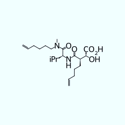 C=CCCCCN(C)C(=O)[C@@H](NC(=O)[C@H](CCCC=C)[C@H](O)C(=O)O)C(C)C